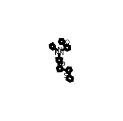 c1ccc(-c2nc(-c3ccc4c(c3)oc3c(-c5cccc6c5sc5ccccc56)cccc34)nc(-c3cccc4oc5ccccc5c34)n2)cc1